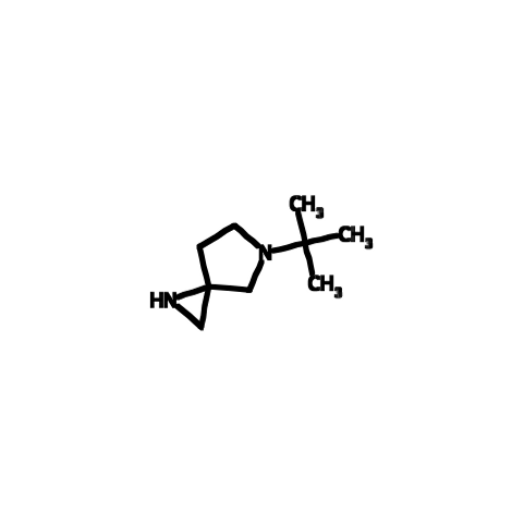 CC(C)(C)N1CCC2(CN2)C1